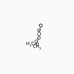 C=C(C)C(=O)OCCOC1=CCC(OCc2ccccc2)C=C1